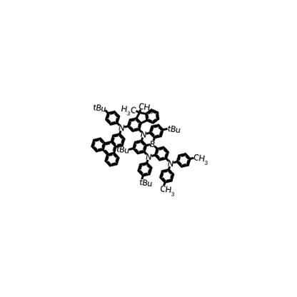 Cc1ccc(N(c2ccc(C)cc2)c2ccc3c(c2)N(c2ccc(C(C)(C)C)cc2)c2cc(C(C)(C)C)cc4c2B3c2cc(C(C)(C)C)ccc2N4c2cc(N(c3ccc(C(C)(C)C)cc3)c3ccc4c5ccccc5c5ccccc5c4c3)cc3c2-c2ccccc2C3(C)C)cc1